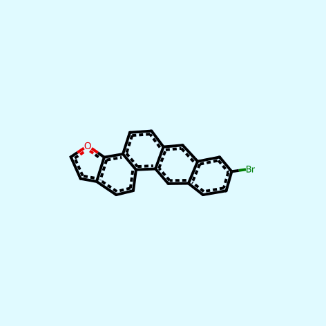 Brc1ccc2cc3c(ccc4c3ccc3ccoc34)cc2c1